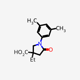 CCC1(C(=O)O)CC(=O)N(c2cc(C)cc(C)c2)C1